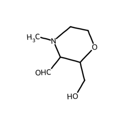 CN1CCOC(CO)C1C=O